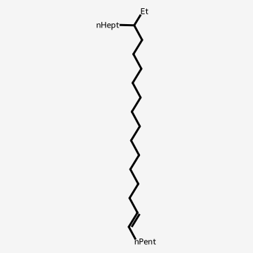 [CH2]CCCC/C=C/CCCCCCCCCCCCC(CC)CCCCCC[CH2]